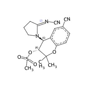 CC1(C)Oc2ccc(C#N)cc2[C@H](N2CCC/C2=N/C#N)[C@H]1OS(C)(=O)=O